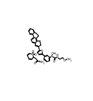 COCCNC(=O)N(O)c1cccc(-c2ccc(C3=Cc4ccc5c(c4CC3)CCc3ccccc3-5)s2)c1.NC(=O)CC1C=CC=CS1(=O)=O